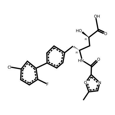 Cc1cnc(C(=O)N[C@H](Cc2ccc(-c3cc(Cl)ccc3F)cc2)C[C@@H](O)C(=O)O)o1